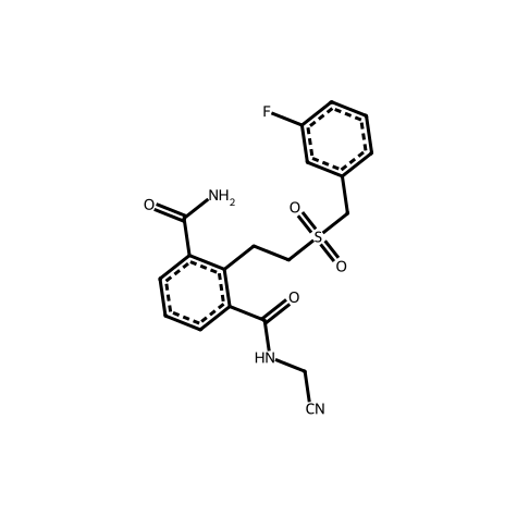 N#CCNC(=O)c1cccc(C(N)=O)c1CCS(=O)(=O)Cc1cccc(F)c1